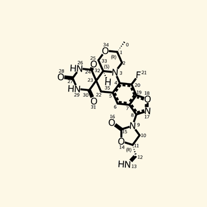 C[C@@H]1CN2c3c(cc4c(N5C[C@H](C=N)OC5=O)noc4c3F)CC3(C(=O)NC(=O)NC3=O)[C@H]2CO1